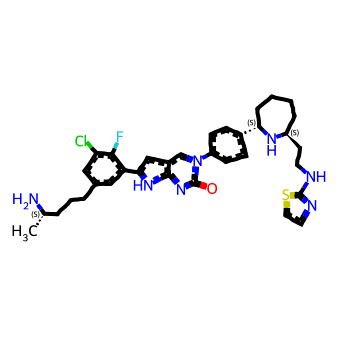 C[C@H](N)CCCc1cc(Cl)c(F)c(-c2cc3cn(-c4ccc([C@@H]5CCCC[C@@H](CCNc6nccs6)N5)cc4)c(=O)nc3[nH]2)c1